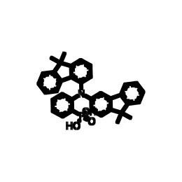 CC1(C)c2ccccc2-c2cc(N(c3ccccc3P(=O)(O)O)c3cccc4c3-c3ccccc3C4(C)C)ccc21